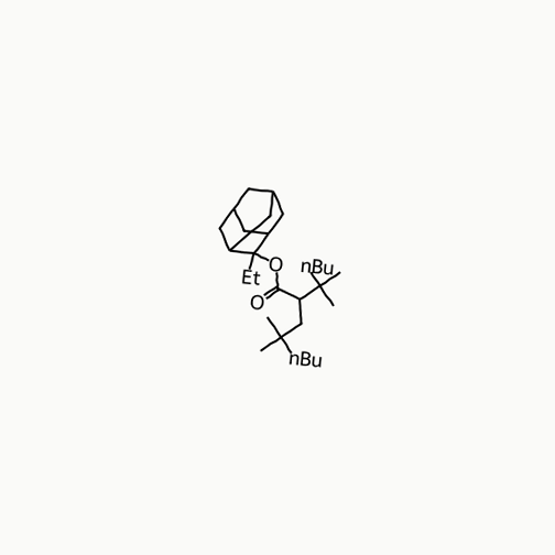 CCCCC(C)(C)CC(C(=O)OC1(CC)C2CC3CC(C2)CC1C3)C(C)(C)CCCC